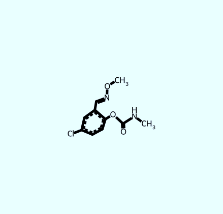 CNC(=O)Oc1ccc(Cl)cc1C=NOC